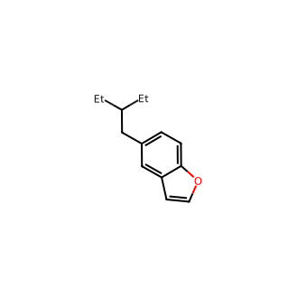 CCC(CC)Cc1ccc2occc2c1